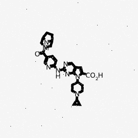 O=C(O)c1cc2cnc(Nc3ccc(C(=O)N4CC5CCC(C4)N5)cn3)nc2n1C1CCN(C2CC2)CC1